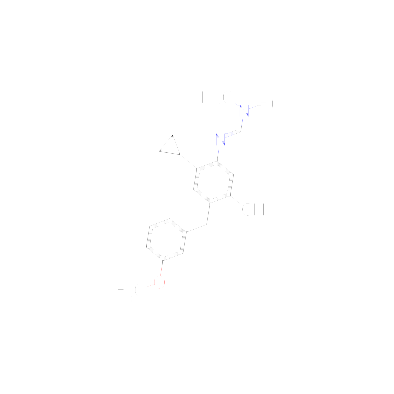 CCN(C)C=Nc1cc(C)c(Cc2cccc(OC(F)(F)F)c2)cc1C1CC1